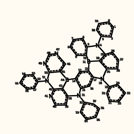 c1ccc(N2c3ccccc3B3c4cc5c(cc4N(c4ccccc4)c4cccc2c43)N(c2ccccc2)c2ccnc3c2B5c2cncnc2N3c2ccccc2)cc1